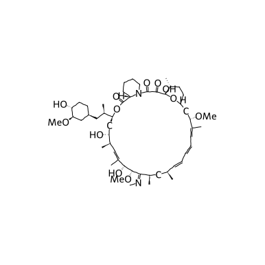 C/N=C1/[C@H](C)C[C@H](C)/C=C/C=C/C=C(\C)[C@@H](OC)C[C@@H]2CC[C@@H](C)[C@@](O)(O2)C(=O)C(=O)N2CCCC[C@H]2C(=O)O[C@H]([C@H](C)C[C@@H]2CC[C@@H](O)[C@H](OC)C2)C[C@@H](O)[C@H](C)/C=C(\C)[C@@H](O)[C@H]1OC